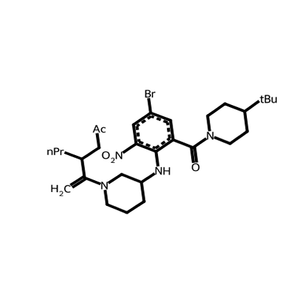 C=C(C(CCC)CC(C)=O)N1CCCC(Nc2c(C(=O)N3CCC(C(C)(C)C)CC3)cc(Br)cc2[N+](=O)[O-])C1